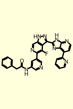 O=C(Cc1ccccc1)Nc1cncc(-c2ncc3[nH]nc(-c4nc5c(-c6ccccn6)ccnc5[nH]4)c3c2F)c1